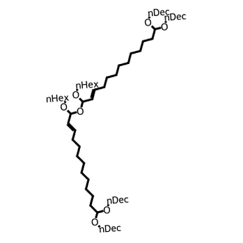 CCCCCCCCCCOC(CCCCCCCCCC=CC(OCCCCCC)OC(C=CCCCCCCCCCC(OCCCCCCCCCC)OCCCCCCCCCC)OCCCCCC)OCCCCCCCCCC